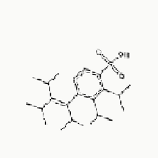 CC(C)C(=C(C(C)C)C(C)C)c1ccc(S(=O)(=O)O)c(C(C)C)c1C(C)C